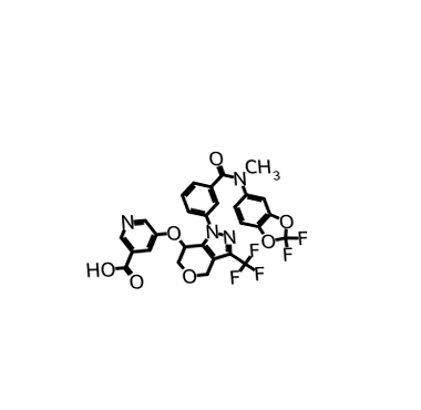 CN(C(=O)c1cccc(-n2nc(C(F)(F)F)c3c2C(Oc2cncc(C(=O)O)c2)COC3)c1)c1ccc2c(c1)OC(F)(F)O2